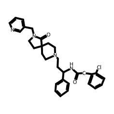 O=C(Cc1ccccc1Cl)NC(CCN1CCC2(CC1)CCN(Cc1cccnc1)C2=O)c1ccccc1